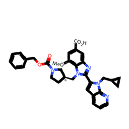 COc1cc(C(=O)O)cc2nc(-c3cc4cccnc4n3CC3CC3)n(C[C@H]3CCN(C(=O)OCc4ccccc4)C3)c12